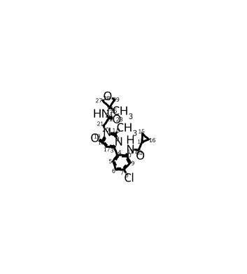 Cc1nc(-c2ccc(Cl)cc2NC(=O)C2CC2)cc(=O)n1CC(=O)NC1(C)COC1